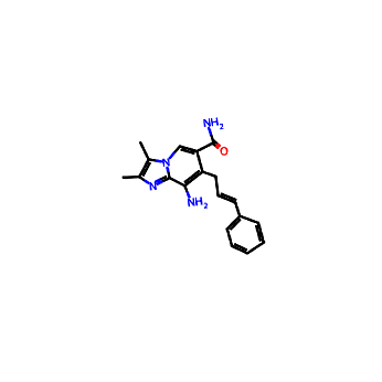 Cc1nc2c(N)c(C/C=C/c3ccccc3)c(C(N)=O)cn2c1C